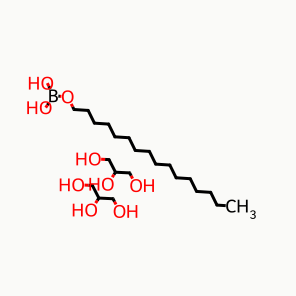 CCCCCCCCCCCCCCCCOB(O)O.OCC(O)CO.OCC(O)CO